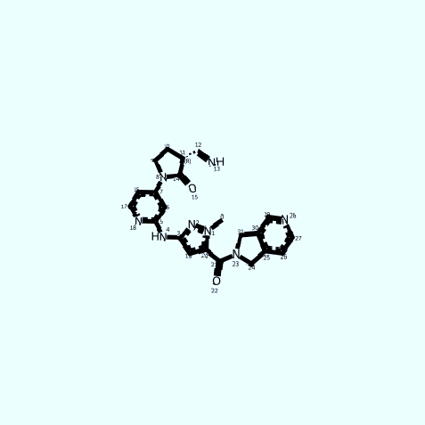 Cn1nc(Nc2cc(N3CC[C@H](C=N)C3=O)ccn2)cc1C(=O)N1Cc2ccncc2C1